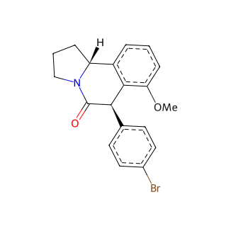 COc1cccc2c1[C@@H](c1ccc(Br)cc1)C(=O)N1CCC[C@H]21